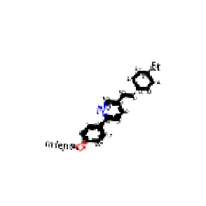 CCCCCCCOc1ccc(-c2ccc(CC[C@H]3CC[C@H](CC)CC3)cn2)cc1